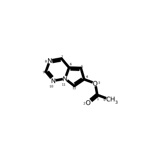 CC(=O)Oc1cc2cncnn2c1